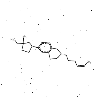 C/C=C\CCC[C@@H]1CCc2cc([C@H]3CC[C@](N)(CC)C3)ccc2C1